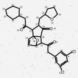 O=C(Cc1cc(Cl)cc(Cl)c1)C1C2C=CC3(O2)C(C(=O)CC2CCCCC2)C(CC2CCCO2)C(=O)C13